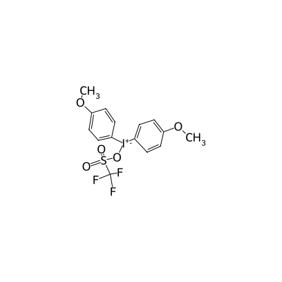 COc1ccc([I+](OS(=O)(=O)C(F)(F)F)c2ccc(OC)cc2)cc1